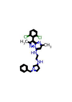 Cc1cc(NCCNC2CCN(Cc3ccccc3)C2)n2nc(C)c(-c3c(Cl)cccc3Cl)c2n1